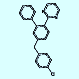 Clc1ccc(Cc2ccc(-c3ncccn3)c(-c3ccccc3)c2)cc1